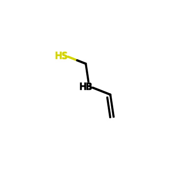 C=CBCS